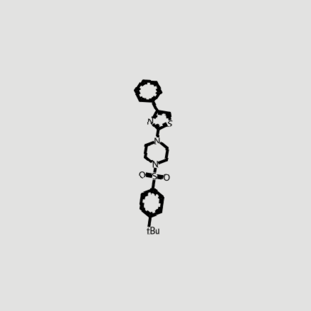 CC(C)(C)c1ccc(S(=O)(=O)N2CCN(c3nc(-c4ccccc4)cs3)CC2)cc1